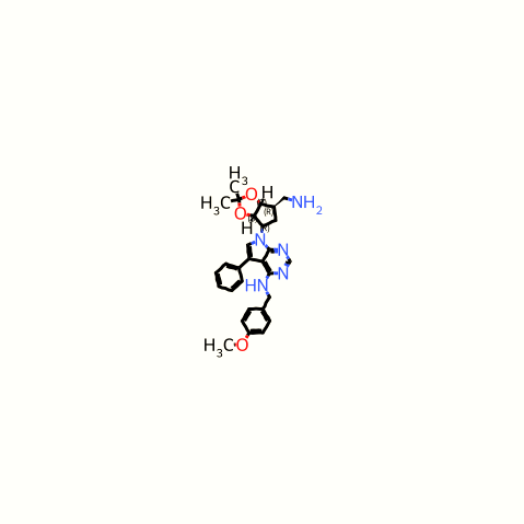 COc1ccc(CNc2ncnc3c2c(-c2ccccc2)cn3[C@@H]2C[C@H](CN)[C@H]3OC(C)(C)O[C@H]32)cc1